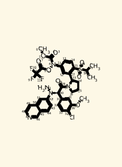 COC(=O)N(OC(=O)C(F)(F)F)c1ccc(S(=O)(=O)C(C)C)c(C2CCCN2C(=O)[C@@H](c2ccc(Cl)c(OC)c2)N(N)c2ccc3cnccc3c2)c1